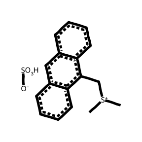 C[S+](C)Cc1c2ccccc2cc2ccccc12.O=S(=O)([O-])O